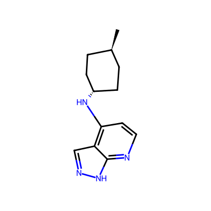 C[C@H]1CC[C@H](Nc2ccnc3[nH]ncc23)CC1